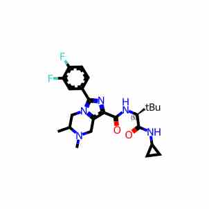 CC1Cn2c(-c3ccc(F)c(F)c3)nc(C(=O)N[C@H](C(=O)NC3CC3)C(C)(C)C)c2CN1C